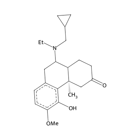 CCN(CC1CC1)C1Cc2ccc(OC)c(O)c2[C@]2(C)CC(=O)CCC12